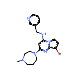 CN1CCCN(c2cc(NCc3cccnc3)n3ccc(Br)c3n2)CC1